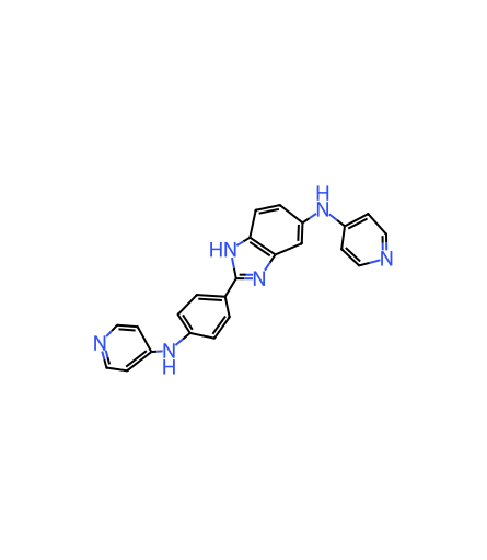 c1cc(Nc2ccc(-c3nc4cc(Nc5ccncc5)ccc4[nH]3)cc2)ccn1